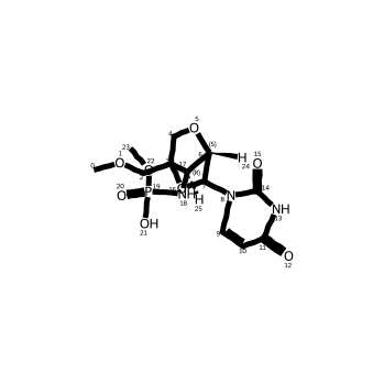 COCC12CO[C@H](C(n3ccc(=O)[nH]c3=O)O1)[C@H]2NP(=O)(O)OC